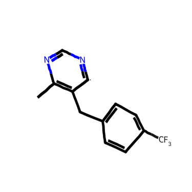 Cc1ncn[c]c1Cc1ccc(C(F)(F)F)cc1